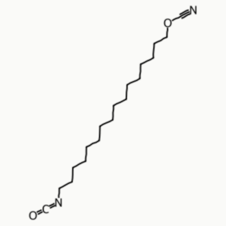 N#COCCCCCCCCCCCCCCCCN=C=O